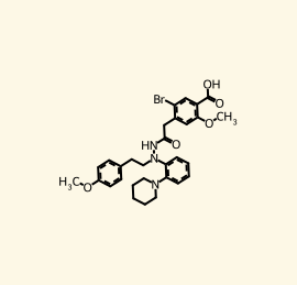 COc1ccc(CCN(NC(=O)Cc2cc(OC)c(C(=O)O)cc2Br)c2ccccc2N2CCCCC2)cc1